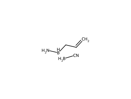 BC#N.C=CCBN